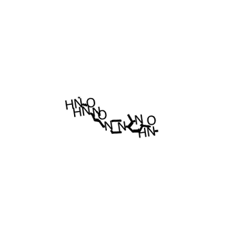 CNC(=O)Nc1cc(CN2CCN(c3ccc(C(=O)NC)nc3C)CC2)on1